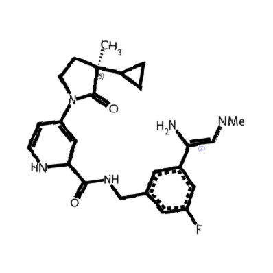 CN/C=C(\N)c1cc(F)cc(CNC(=O)C2C=C(N3CC[C@@](C)(C4CC4)C3=O)C=CN2)c1